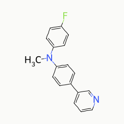 CN(c1ccc(F)cc1)c1ccc(-c2cccnc2)cc1